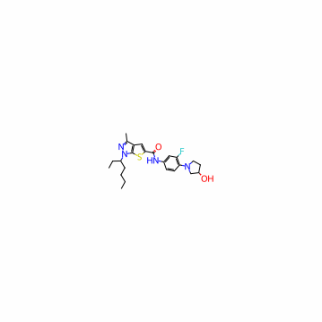 CCCCC(CC)n1nc(C)c2cc(C(=O)Nc3ccc(N4CC[C@@H](O)C4)c(F)c3)sc21